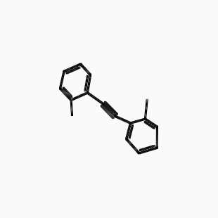 Cc1ccccc1C#Cc1ccccc1C